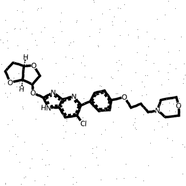 Clc1cc2[nH]c(OC3CO[C@@H]4CCO[C@H]34)nc2nc1-c1ccc(OCCCN2CCOCC2)cc1